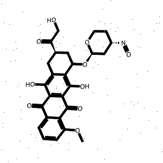 COc1cccc2c1C(=O)c1c(O)c3c(c(O)c1C2=O)C[C@@H](C(=O)CO)CC3O[C@@H]1C[C@@H](N=O)CCO1